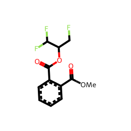 COC(=O)c1ccccc1C(=O)OC(CF)C(F)F